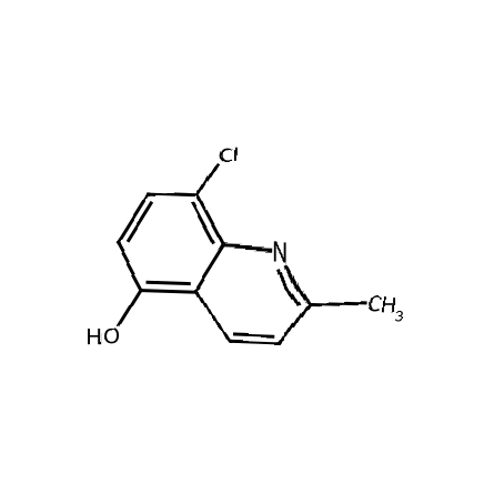 Cc1ccc2c(O)ccc(Cl)c2n1